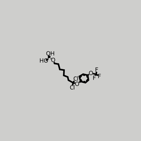 OP(O)OCCCCCCCC(Cl)(Cl)Oc1ccc(OC(F)(F)F)cc1